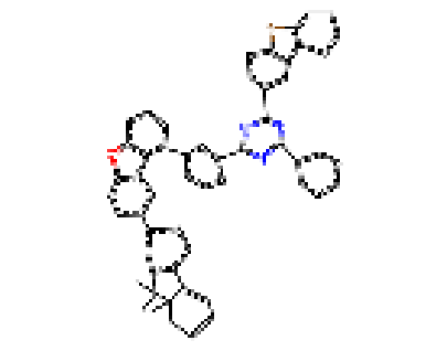 CC12CC=CC=C1c1ccc(-c3ccc4oc5cccc(-c6cccc(-c7nc(-c8ccccc8)nc(-c8ccc9sc%10ccccc%10c9c8)n7)c6)c5c4c3)cc1C2(C)C